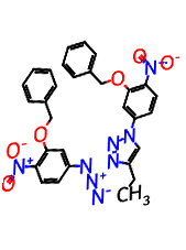 CCc1cn(-c2ccc([N+](=O)[O-])c(OCc3ccccc3)c2)nn1.[N-]=[N+]=Nc1ccc([N+](=O)[O-])c(OCc2ccccc2)c1